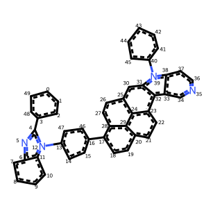 c1ccc(-c2nc3ccccc3n2-c2ccc(-c3ccc4ccc5c6c(ccc3c46)cc3c5c4cnccc4n3-c3ccccc3)cc2)cc1